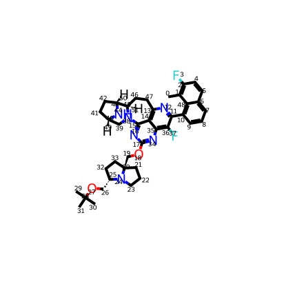 Cc1c(F)ccc2cccc(-c3nc4c5c(nc(OC[C@@]67CCCN6[C@H](COC(C)(C)C)CC7)nc5c3F)N3C[C@@H]5CC[C@@H](N5)[C@H]3CC4)c12